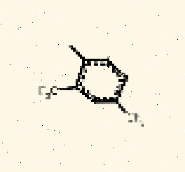 Cc1[c]cc(C(F)(F)F)cc1C(F)(F)F